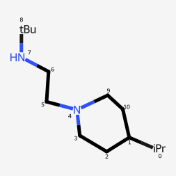 CC(C)C1CCN(CCNC(C)(C)C)CC1